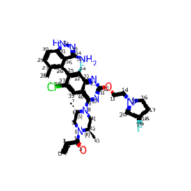 C=CC(=O)N1C[C@H](C)N(c2nc(OCCN3CCC(F)C3)nc3c(F)c(-c4c(C)ccc5[nH]nc(N)c45)c(Cl)cc23)C[C@H]1C